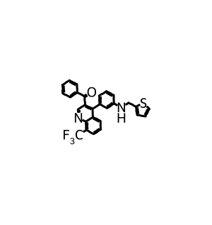 O=C(c1ccccc1)c1cnc2c(C(F)(F)F)cccc2c1-c1cccc(NCc2cccs2)c1